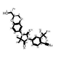 C[C@@H](O)[C@H]1CSc2cc(N3C(=S)N(c4ccc(C#N)c(C(F)(F)F)c4)C(=O)C3(C)C)ccc2O1